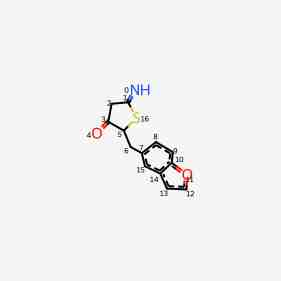 N=C1CC(=O)C(Cc2ccc3occc3c2)S1